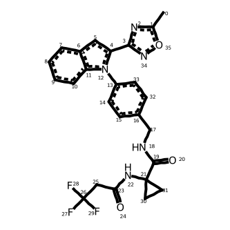 Cc1nc(-c2cc3ccccc3n2-c2ccc(CNC(=O)C3(NC(=O)CC(F)(F)F)CC3)cc2)no1